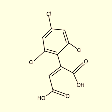 O=C(O)/C=C(\C(=O)O)c1c(Cl)cc(Cl)cc1Cl